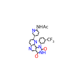 CC(=O)Nc1ccc(-c2ccc3ncc4c(=O)[nH]c(=O)n(-c5cccc(C(F)(F)F)c5)c4c3n2)cn1